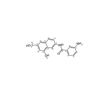 Nc1cccc(C(=O)Nc2ccc3cc(C(=O)O)cc(O)c3c2)c1